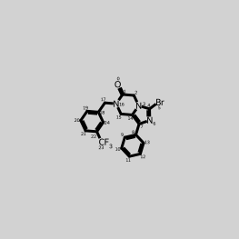 O=C1Cn2c(Br)nc(-c3ccccc3)c2CN1Cc1cccc(C(F)(F)F)c1